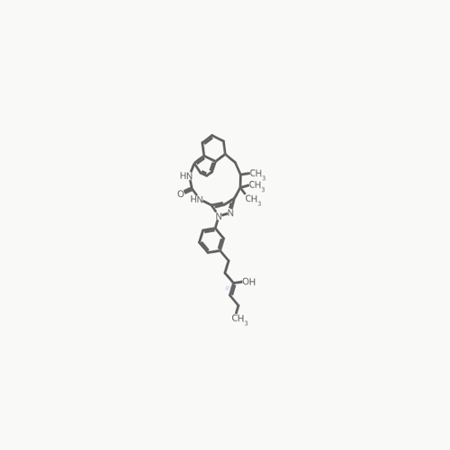 CC/C=C(\O)CCc1cccc(-n2nc3cc2NC(=O)Nc2cccc4c2C=CCC4CC(C)C3(C)C)c1